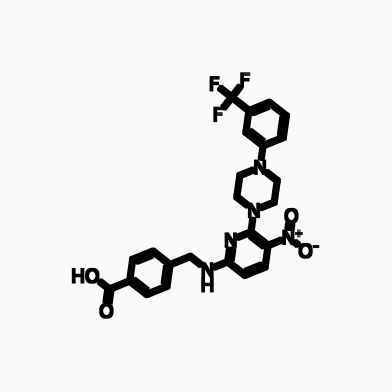 O=C(O)c1ccc(CNc2ccc([N+](=O)[O-])c(N3CCN(c4cccc(C(F)(F)F)c4)CC3)n2)cc1